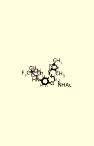 CC(=O)NC[C@H]1CN(Sc2nc(C)sc2C)c2cc(NC(=O)OC(C)(C)C(F)(F)F)ccc2O1